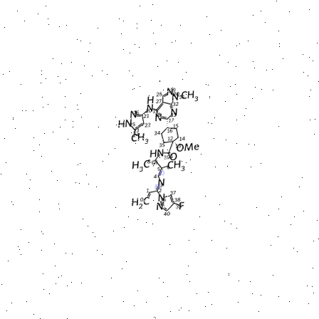 C=C/C(=N\C=C(/C)[C@H](C)NC(=O)[C@]1(OC)CC[C@@H](c2nc(Nc3cc(C)[nH]n3)c3cnn(C)c3n2)CC1)n1cc(F)cn1